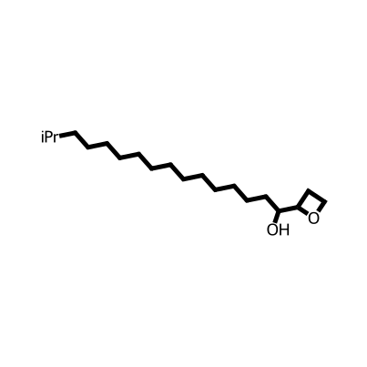 CC(C)CCCCCCCCCCCCCC(O)C1CCO1